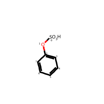 O=S(=O)(O)Oc1ccccc1